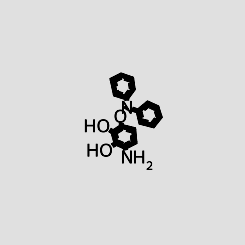 Nc1ccc(ON(c2ccccc2)c2ccccc2)c(O)c1O